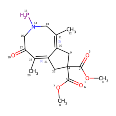 COC(=O)C1(C(=O)OC)CC2=C(\C)CN(P)CC(=O)/C(C)=C\2C1